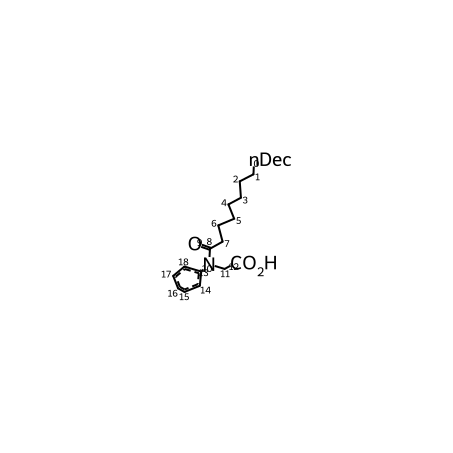 CCCCCCCCCCCCCCCCCC(=O)N(CC(=O)O)c1ccccc1